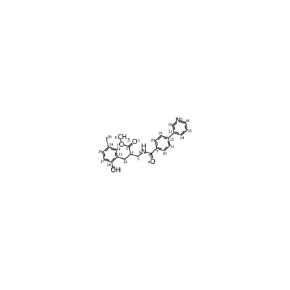 COC(=O)C(CNC(=O)c1ccc(-c2cccnc2)cc1)Cc1cc(I)ccc1O